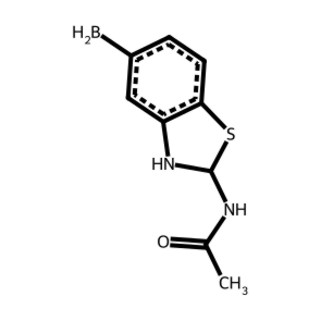 Bc1ccc2c(c1)NC(NC(C)=O)S2